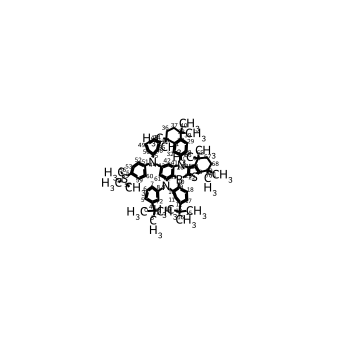 CC(C)(C)c1cccc(N2c3cc(C(C)(C)C)ccc3B3c4sc5c(c4N(c4ccc6c(c4)C(C)(C)CCC6(C)C)c4cc(N(c6ccccc6)c6ccc(S(C)(C)C)cc6)cc2c43)C(C)(C)CCC5(C)C)c1